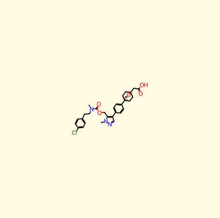 CN(CCc1ccc(Cl)cc1)C(=O)OCc1c(-c2ccc(C34CCC(CC(=O)O)(CC3)OC4)cc2)cnn1C